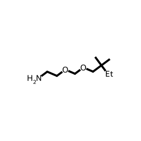 CCC(C)(C)COCOCCN